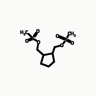 CS(=O)(=O)OCC1CCCC1COS(C)(=O)=O